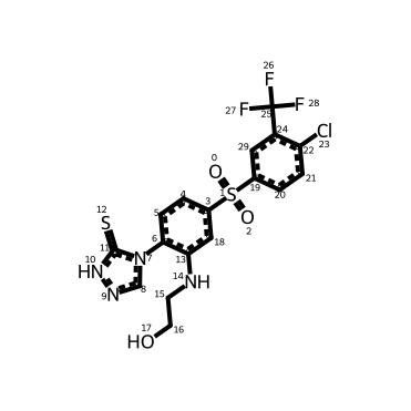 O=S(=O)(c1ccc(-n2cn[nH]c2=S)c(NCCO)c1)c1ccc(Cl)c(C(F)(F)F)c1